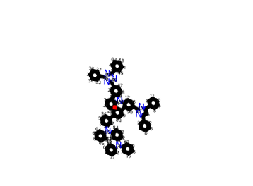 c1ccc(-c2cc(-c3ccccc3)nc(-c3ccc(-n4c5ccccc5c5cc(-c6nc(-c7ccccc7)nc(-c7ccccc7)n6)ccc54)c(-c4ccc(-c5cccc(N6c7ccccc7B7c8ccccc8N(c8ccccc8)c8cccc6c87)c5)cc4)c3)n2)cc1